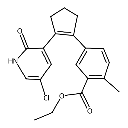 CCOC(=O)c1cc(C2=C(c3cc(Cl)c[nH]c3=O)CCC2)ccc1C